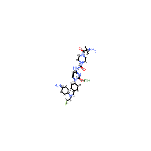 CC(C)(N)C(=O)N1CCN(C(=O)Nc2ccn(C3CCC(CN(CCF)C4CCC(N)CC4)CC3)c(=O)n2)CC1.Cl